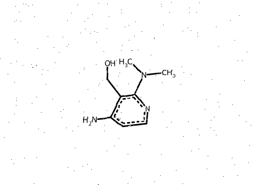 CN(C)c1nccc(N)c1CO